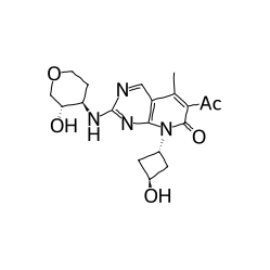 CC(=O)c1c(C)c2cnc(N[C@@H]3CCOC[C@H]3O)nc2n([C@H]2C[C@H](O)C2)c1=O